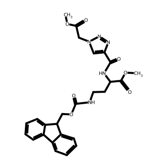 COC(=O)Cn1cc(C(=O)NC(CCNC(=O)OCC2c3ccccc3-c3ccccc32)C(=O)OC)nn1